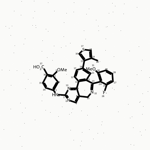 COc1cc(Nc2ncc3c(n2)-c2ccc(-c4cscc4C)cc2C(c2c(F)cccc2OC)=NC3)ccc1C(=O)O